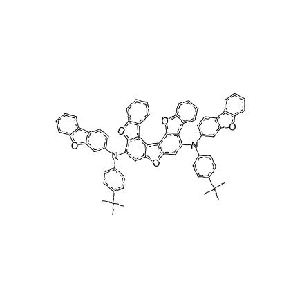 CC(C)(C)c1ccc(N(c2ccc3c(c2)oc2ccccc23)c2cc3oc4cc(N(c5ccc(C(C)(C)C)cc5)c5ccc6c(c5)oc5ccccc56)c5c6ccccc6oc5c4c3c3c2oc2ccccc23)cc1